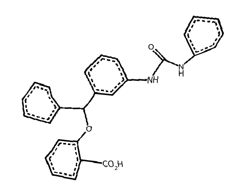 O=C(Nc1ccccc1)Nc1cccc(C(Oc2ccccc2C(=O)O)c2ccccc2)c1